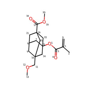 C=C(C)C(=O)OC12CC3CC(COC)(C1)CC(C(=O)OC)(C3)C2